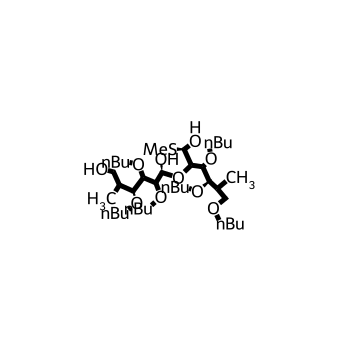 CCCCOCC(C)[C@@H](OCCCC)C(OCCCC)C(O[C@@H](O)C(OCCCC)C(OCCCC)[C@H](OCCCC)C(C)CO)[C@H](O)SC